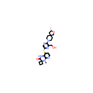 C[C@H]1CC2(CCN(c3ncc(Sc4ccnc5c4NC(=O)C4(CCC4)N5C)nc3CO)CC2)CO1